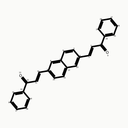 O=C(/C=C/c1ccc2cc(/C=C/C(=O)c3ccccc3)ccc2c1)c1ccccc1